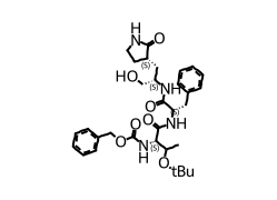 CC(OC(C)(C)C)[C@H](NC(=O)OCc1ccccc1)C(=O)N[C@@H](Cc1ccccc1)C(=O)N[C@H](CO)C[C@@H]1CCNC1=O